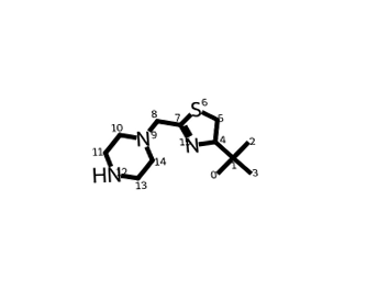 CC(C)(C)C1CSC(CN2CCNCC2)=N1